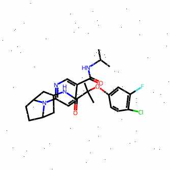 CC(C)NC(=O)c1ccc(N2C3CCC2CC(NC(=O)C(C)(C)Oc2ccc(Cl)c(F)c2)C3)nc1